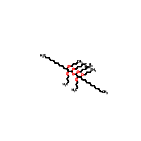 CCCCCCCCCCC(OCCCC)=C(OCCCC)C(OCCCCC)OC(OCCCCC)C(OCCCC)=C(CCCCCCCCCC)OCCCC